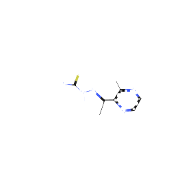 CCc1nccnc1C(C)=NNC(N)=S.[Ru]